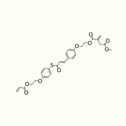 C=CC(=O)OCCOc1ccc(SC(=O)/C=C/c2ccc(OCCOC(=O)C(=C)CC(=O)OC)cc2)cc1